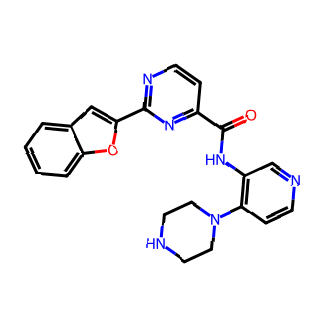 O=C(Nc1cnccc1N1CCNCC1)c1ccnc(-c2cc3ccccc3o2)n1